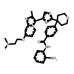 Cc1nc2cc(OCCN(C)C)ccn2c1-c1csc(C2(c3ccc(C(=O)Nc4ccccc4N)cc3)CCOCC2)n1